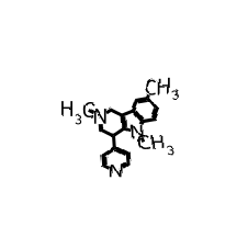 Cc1ccc2c(c1)c1c(n2C)C(c2ccncc2)CN(C)C1